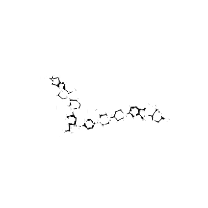 C[C@@H]1[C@H](N2CCn3c(cc4c3CC(C)(C)C4)C2=O)CCCN1c1cnc(C(N)=O)c(Nc2ccc(N3CCN(C4CCN(c5ccc6c(c5)C(=O)N(C5CCC(=O)NC5=O)C6=O)CC4)C[C@@H]3C)cn2)c1